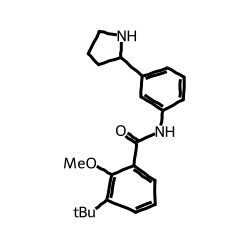 COc1c(C(=O)Nc2cccc(C3CCCN3)c2)cccc1C(C)(C)C